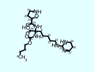 CCCCOC(=O)NC(CCCCCNC1N=CCCN1)(NC(=O)C1CCNO1)C(=O)O